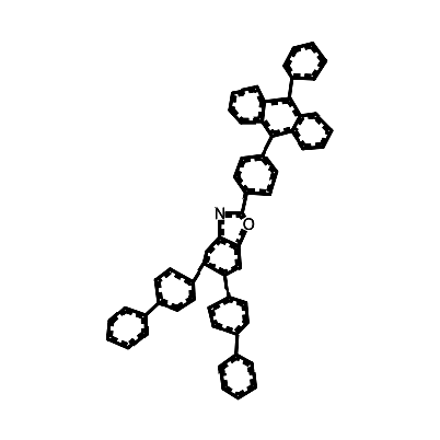 c1ccc(-c2ccc(-c3cc4nc(-c5ccc(-c6c7ccccc7c(-c7ccccc7)c7ccccc67)cc5)oc4cc3-c3ccc(-c4ccccc4)cc3)cc2)cc1